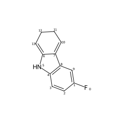 Fc1ccc2[nH]c3c(c2c1)=CCCC=3